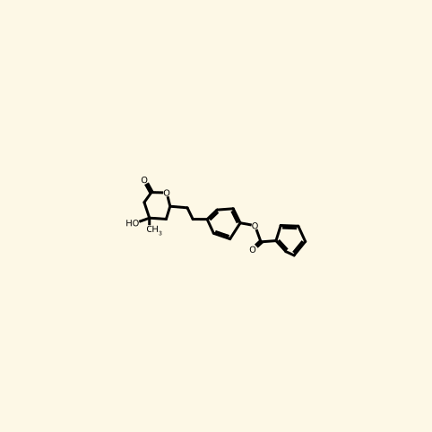 CC1(O)CC(=O)OC(CCc2ccc(OC(=O)c3ccccc3)cc2)C1